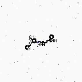 COc1ccc(/C=C/c2cc(/C=C/c3c[nH]c4ccccc34)n[nH]2)cc1OCc1ccccn1